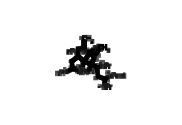 C=CC[C](CC(CCC)CCCCC)C(C=CC)(CCC)C(CCC)(CC(CCC)CCCCC)C(CCC)CC(CCC)CCCCC